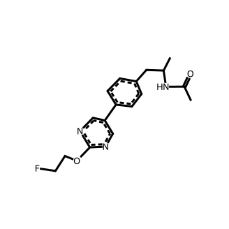 CC(=O)NC(C)Cc1ccc(-c2cnc(OCCF)nc2)cc1